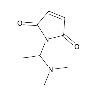 CC(N(C)C)N1C(=O)C=CC1=O